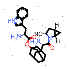 N#C[C@@H]1C[C@@H]2C[C@@H]2N1C(=O)[C@@H](N)C12CC3CC(CC(OC(=O)[C@@H](N)Cc4c[nH]c5ccccc45)(C3)C1)C2